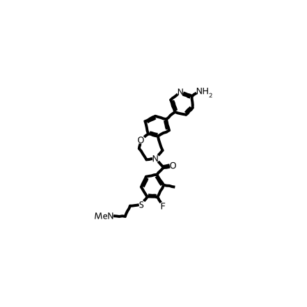 CNCCSc1ccc(C(=O)N2CCOc3ccc(-c4ccc(N)nc4)cc3C2)c(C)c1F